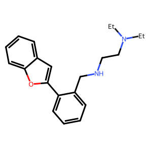 CCN(CC)CCNCc1ccccc1-c1cc2ccccc2o1